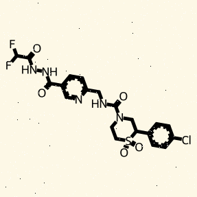 O=C(NNC(=O)C(F)F)c1ccc(CNC(=O)N2CCS(=O)(=O)C(c3ccc(Cl)cc3)C2)nc1